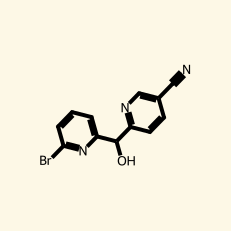 N#Cc1ccc(C(O)c2cccc(Br)n2)nc1